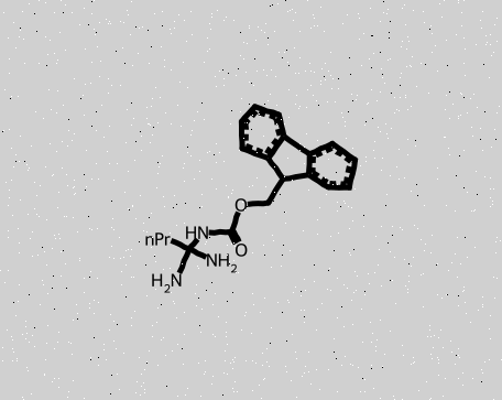 CCCC(N)(N)NC(=O)OCC1c2ccccc2-c2ccccc21